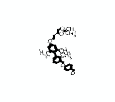 Cc1cc(OCC[C@H]2COC(C)(C)O2)cc(C)c1-c1cccc(COc2ccc(C=O)cc2)c1C